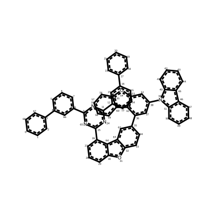 c1ccc(-c2cccc(-c3nc(-c4cccc(-c5ccccc5)c4)nc(-c4cccc5oc6ccc(-c7cc(-n8c9ccccc9c9ccccc98)cc8oc9ccccc9c78)cc6c45)n3)c2)cc1